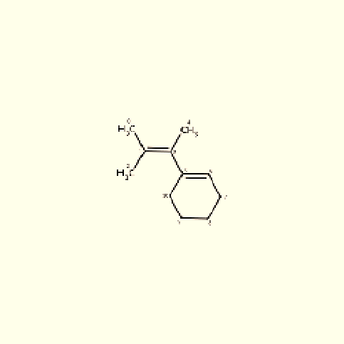 CC(C)=C(C)C1=CCCCC1